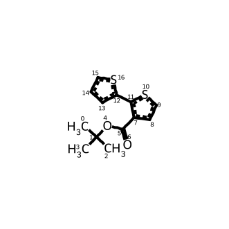 CC(C)(C)OC(=O)c1ccsc1-c1cccs1